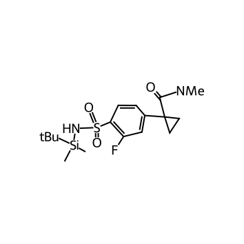 CNC(=O)C1(c2ccc(S(=O)(=O)N[Si](C)(C)C(C)(C)C)c(F)c2)CC1